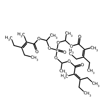 CCC(CC)=C(C)C(=O)OC(C)OP(=O)(OC(C)OC(=O)C(C)=C(CC)CC)OC(C)OC(=O)C(C)=C(CC)CC